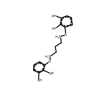 CCCc1cccc(O[SiH2]CCC[SiH2]Oc2cccc(CCC)c2CCC)c1CCC